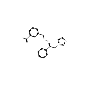 O=C(O)c1cccc(CO/N=C(/Cn2ccnc2)c2ccccc2)c1